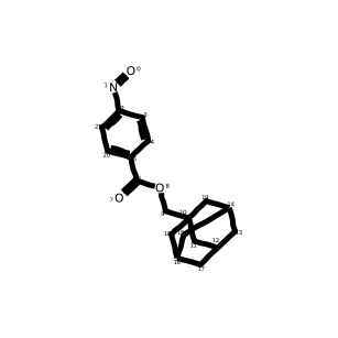 O=Nc1ccc(C(=O)OCC23CC4CC(CC(C4)C2)C3)cc1